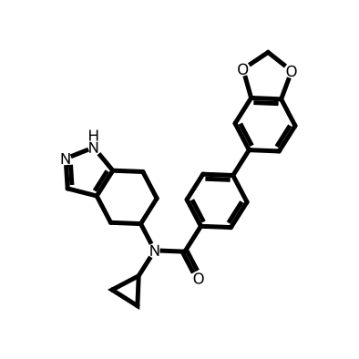 O=C(c1ccc(-c2ccc3c(c2)OCO3)cc1)N(C1CC1)C1CCc2[nH]ncc2C1